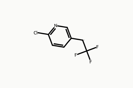 FC(F)(F)[CH]c1ccc(Cl)nc1